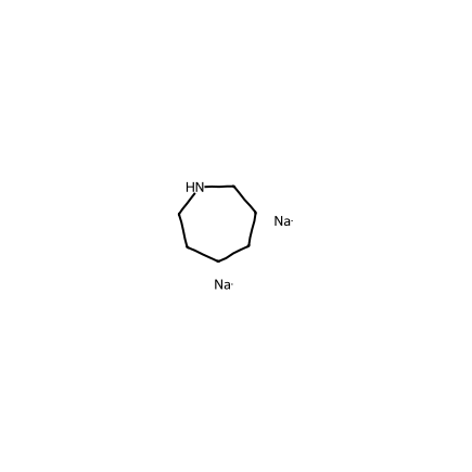 C1CCCNCC1.[Na].[Na]